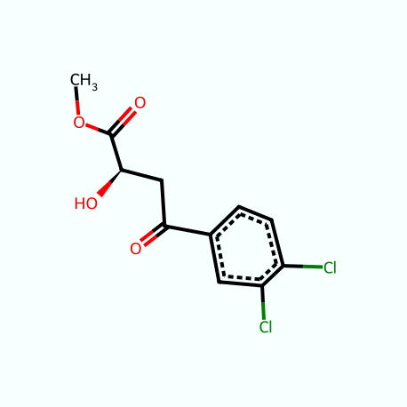 COC(=O)[C@H](O)CC(=O)c1ccc(Cl)c(Cl)c1